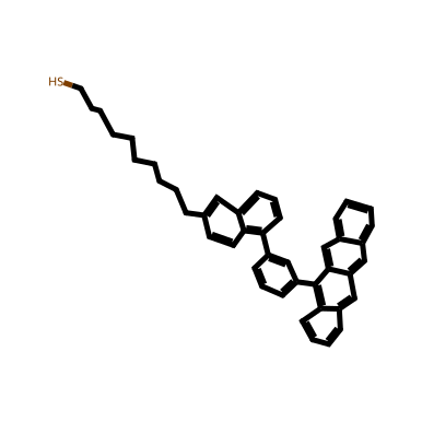 SCCCCCCCCCCc1ccc2c(-c3cccc(-c4c5ccccc5cc5cc6ccccc6cc45)c3)cccc2c1